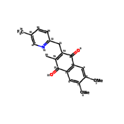 COc1cc2c(cc1OC)C(=O)C(Cc1ccc(C(F)(F)F)cn1)=C(C)C2=O